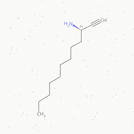 C#C[C@H](N)CCCCCCCCC